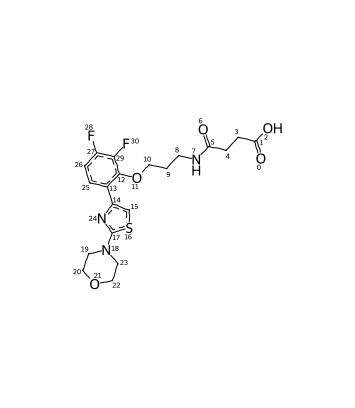 O=C(O)CCC(=O)NCCCOc1c(-c2csc(N3CCOCC3)n2)ccc(F)c1F